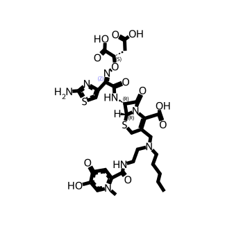 CCCCCN(CCNC(=O)c1cc(=O)c(O)cn1C)CC1=C(C(=O)O)N2C(=O)[C@@H](NC(=O)/C(=N\O[C@@H](CC(=O)O)C(=O)O)c3csc(N)n3)[C@H]2SC1